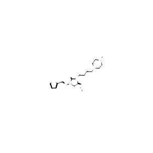 CN1CCN(CCCCN2C(=O)CN(N=Cc3ccco3)C2=O)CC1.Cl.Cl